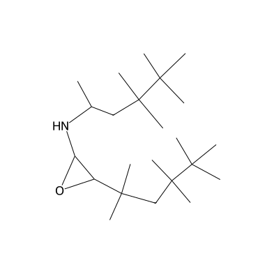 CC(CC(C)(C)C(C)(C)C)NC1OC1C(C)(C)CC(C)(C)C(C)(C)C